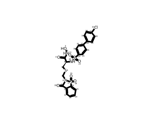 O=C(NO)[C@H](CSCN1C(=O)c2ccccc2S1(=O)=O)NS(=O)(=O)c1ccc(-c2ccc(Cl)cc2)cc1